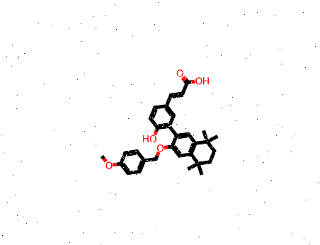 COc1ccc(COc2cc3c(cc2-c2cc(C=CC(=O)O)ccc2O)C(C)(C)CCC3(C)C)cc1